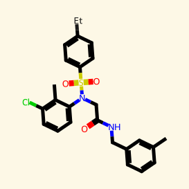 CCc1ccc(S(=O)(=O)N(CC(=O)NCc2cccc(C)c2)c2cccc(Cl)c2C)cc1